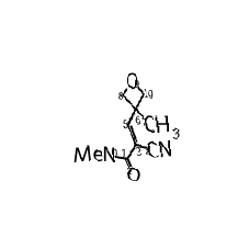 CNC(=O)/C(C#N)=C/C1(C)COC1